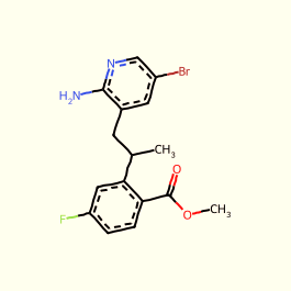 COC(=O)c1ccc(F)cc1C(C)Cc1cc(Br)cnc1N